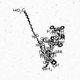 BSSC[C@@H](NC(=O)C(CCCCNC(=O)CCCCCCCCCCCCCCCCC(=O)O)NC(=O)CNC(=O)CNC(=O)CNC(=O)[C@@H](CCCCN)NC(=O)[C@@H](Cc1ccc(O)cc1)NC(=O)[C@@H](CCSC)NC(=O)[C@@H](CCSC)NC(=O)[C@@H](C)NC(=O)[C@@H](Cc1c[nH]c2ccccc12)NC(=O)[C@H]1CCCN1C(=O)[C@@H](Cc1c[nH]cn1)NC(=O)[C@@H](Cc1c[nH]c2ccccc12)NC(=O)[C@H](N)Cc1ccccc1)C(N)=O